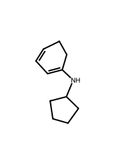 C1=CCCC(NC2CCCC2)=C1